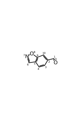 O=Cc1ccc2cnoc2c1